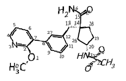 COc1ncccc1-c1cccc(C[C@]2(C(N)=O)CC[C@H](NS(C)(=O)=O)C2)c1